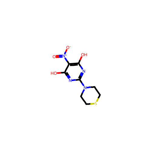 O=[N+]([O-])c1c(O)nc(N2CCSCC2)nc1O